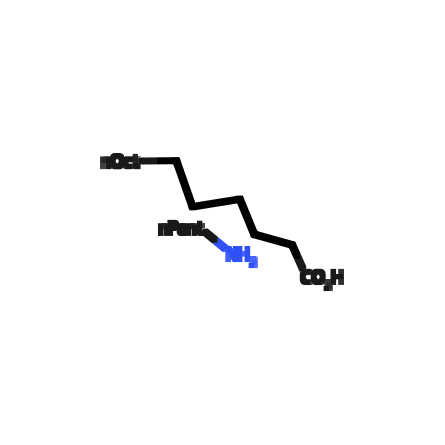 CCCCCCCCCCCCCC(=O)O.CCCCCN